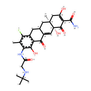 Cc1c(F)c2c(c(O)c1NC(=O)CNC(C)(C)C)C(=O)C1=C[C@]3(O)C(=O)C(C(N)=O)=C(O)C[C@@H]3CC1C2